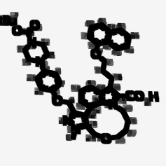 Cn1nc(COc2ccc(N3CCN(C(=O)OC(C)(C)C)CC3)cc2)c2c1COCCCCn1c(C(=O)O)c(CCCOc3cccc4ccccc34)c3cccc-2c31